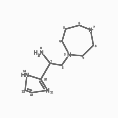 NC(CN1CCC[N]CC1)c1ncc[nH]1